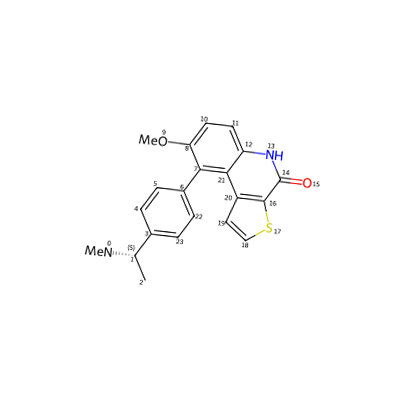 CN[C@@H](C)c1ccc(-c2c(OC)ccc3[nH]c(=O)c4sccc4c23)cc1